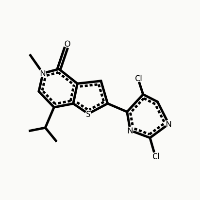 CC(C)c1cn(C)c(=O)c2cc(-c3nc(Cl)ncc3Cl)sc12